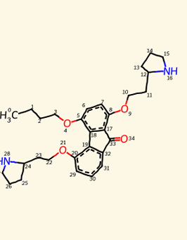 CCCCOc1ccc(OCCC2CCCN2)c2c1-c1c(OCCC3CCCN3)cccc1C2=O